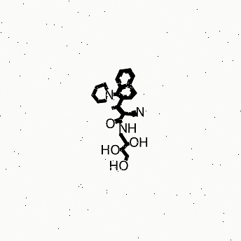 C/C(=C(/C#N)C(=O)NCC(O)C(O)CO)c1ccc2ccccc2c1N1CCCCC1